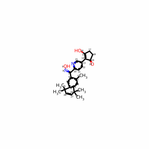 Cc1cc2c(cc1/C(=N/O)c1ccc(C3=C(O)CCC3=O)cn1)C(C)(C)C=CC2(C)C